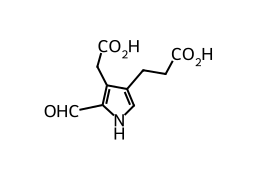 O=Cc1[nH]cc(CCC(=O)O)c1CC(=O)O